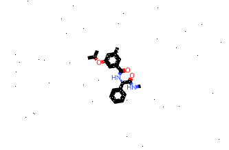 CNC(=O)[C@H](NC(=O)c1cc(C)cc(OC(C)C)c1)c1ccccc1